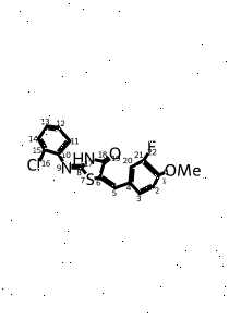 COc1ccc(C=C2SC(=Nc3ccccc3Cl)NC2=O)cc1F